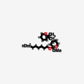 CCCCCCCCCCCCCCCCO[Si]1(OC)CCCCO1.C[Si]1(C)CCCCO1